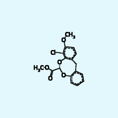 COC(=O)C1Oc2ccccc2Cc2ccc(OC)c(Cl)c2O1